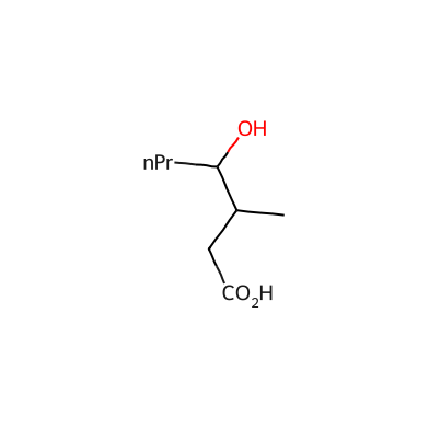 CCCC(O)C(C)CC(=O)O